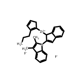 CCCC1=[C]([Zr+2][CH]2C(n3c(C)c(C)c4ccccc43)=Cc3ccccc32)CC=C1.[F-].[F-]